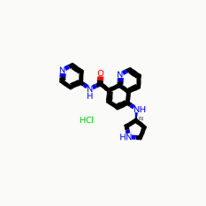 Cl.O=C(Nc1ccncc1)c1ccc(N[C@H]2CCNC2)c2cccnc12